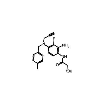 C#CCN(Cc1ccc(C)cc1)c1ccc(NC(=O)CC(C)(C)C)c(N)c1F